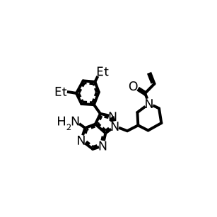 C=CC(=O)N1CCCC(Cn2nc(-c3cc(CC)cc(CC)c3)c3c(N)ncnc32)C1